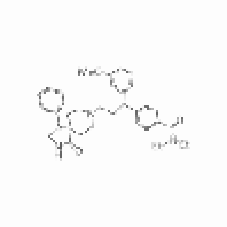 CCN(CC)C(=O)c1ccc(C(CCN2CCC3(CC2)C(=O)NCN3c2ccccc2)c2cccc(OC)c2)cc1